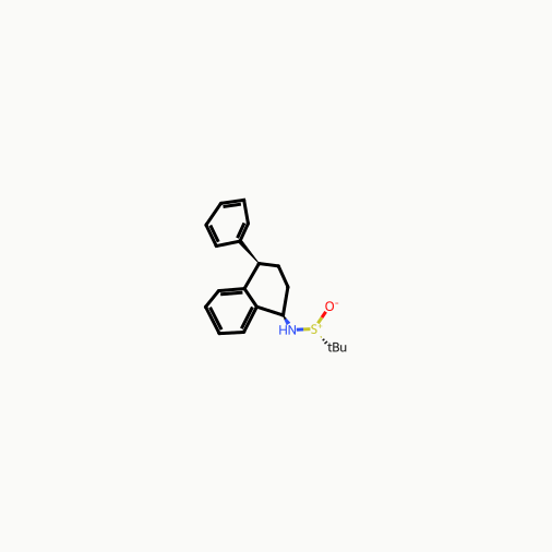 CC(C)(C)[S@@+]([O-])N[C@@H]1CC[C@H](c2ccccc2)c2ccccc21